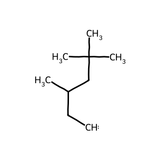 [CH]CC(C)CC(C)(C)C